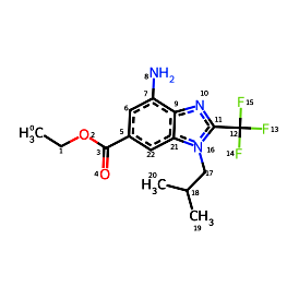 CCOC(=O)c1cc(N)c2nc(C(F)(F)F)n(CC(C)C)c2c1